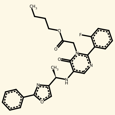 CCCCOC(=O)Cn1c(-c2ccccc2F)ncc(N[C@H](C)c2coc(-c3ccccc3)n2)c1=O